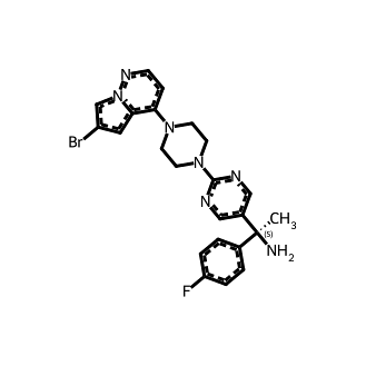 C[C@](N)(c1ccc(F)cc1)c1cnc(N2CCN(c3ccnn4cc(Br)cc34)CC2)nc1